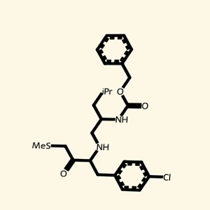 CSCC(=O)C(Cc1ccc(Cl)cc1)NCC(CC(C)C)NC(=O)OCc1ccccc1